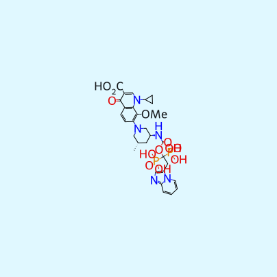 COc1c(N2C[C@@H](C)C[C@H](NC(=O)OC(Cc3cnc4ccccn34)(P(=O)(O)O)P(=O)(O)O)C2)ccc2c(=O)c(C(=O)O)cn(C3CC3)c12